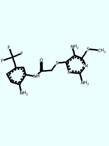 CSc1nc(N)nc(SCC(=O)Nc2cc(C(F)(F)F)ccc2N)c1N